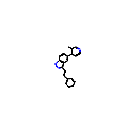 Cc1cnccc1-c1ccc2[nH]nc(/C=C/c3ccccc3)c2c1